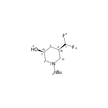 CCCCN1C[C@@H](O)C[C@@H](C(F)F)C1